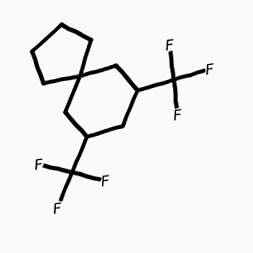 FC(F)(F)C1CC(C(F)(F)F)CC2(CCCC2)C1